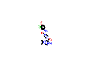 COc1ccc(NC(=O)N2CCN(C(=O)[C@H]3CN(C(C)C)CCN3)CC2)cc1Cl